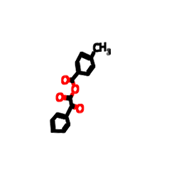 Cc1ccc(C(=O)OC(=O)C(=O)c2ccccc2)cc1